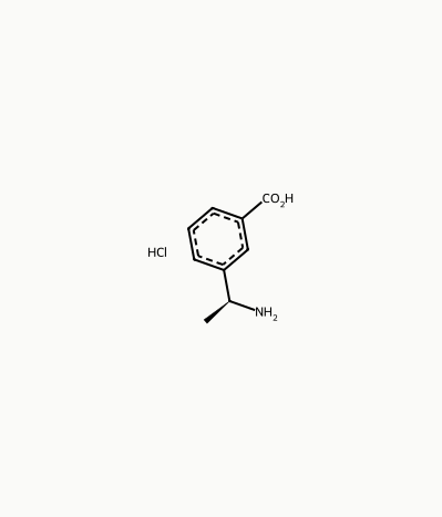 C[C@H](N)c1cccc(C(=O)O)c1.Cl